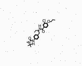 CCCOc1ccc(C(=O)N[C@H](CC)Cc2ccc(NC(=O)N(C)C(C)(C)C)cc2)cc1Cl